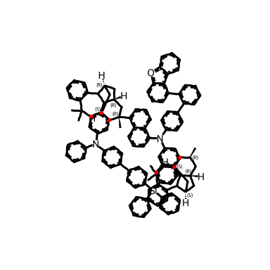 C[C@H]1C[C@@H]2C[C@@H]3C[C@H](C1)C21c2ccc(N(c4ccc(-c5ccccc5-c5cccc6oc7ccccc7c56)cc4)c4cccc5c([C@@]6(C)C[C@H]7C[C@H]8C[C@@H](C6)C76c7ccc(N(c9ccccc9)c9ccc(-c%10ccc([Si](c%11ccccc%11)(c%11ccccc%11)c%11ccccc%11)cc%10)cc9)cc7C(C)(C)c7ccccc7C86)cccc45)cc2C(C)(C)c2ccccc2C31